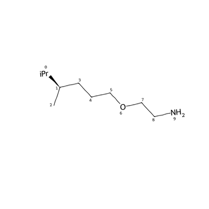 CC(C)[C@H](C)CCCOCCN